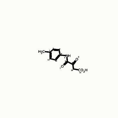 Cc1ccc(NC(=O)C(=O)CC(=O)O)cc1